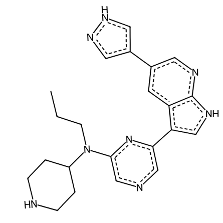 CCCN(c1cncc(-c2c[nH]c3ncc(-c4cn[nH]c4)cc23)n1)C1CCNCC1